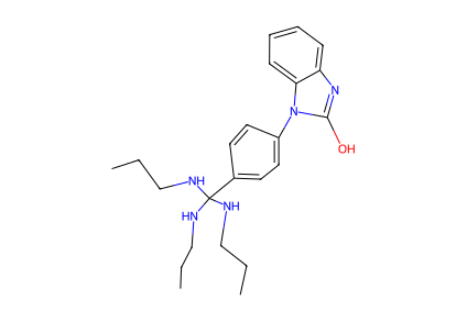 CCCNC(NCCC)(NCCC)c1ccc(-n2c(O)nc3ccccc32)cc1